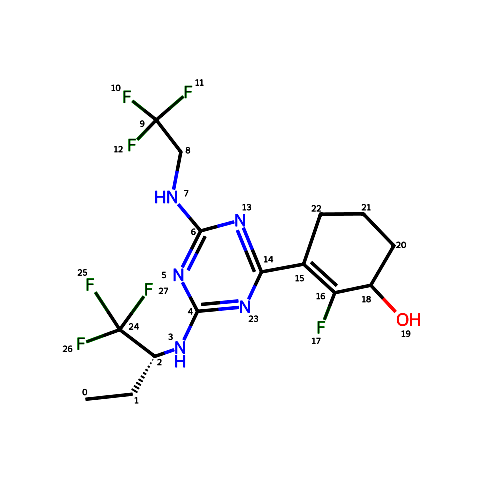 CC[C@@H](Nc1nc(NCC(F)(F)F)nc(C2=C(F)C(O)CCC2)n1)C(F)(F)F